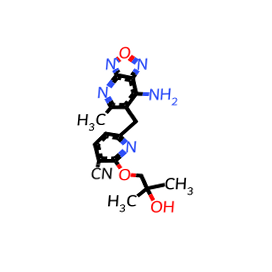 Cc1nc2nonc2c(N)c1Cc1ccc(C#N)c(OCC(C)(C)O)n1